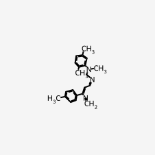 C=N/C(=C\C=N/CN(C)c1cc(C)ccc1C)c1ccc(C)cc1